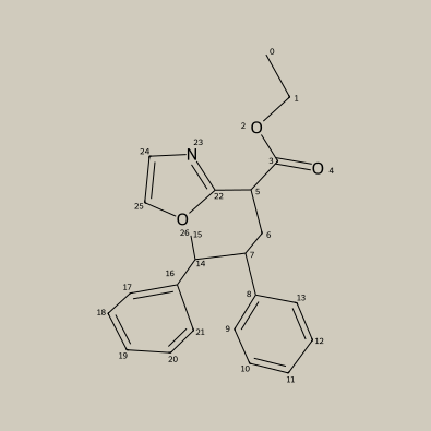 CCOC(=O)C(CC(c1ccccc1)C(C)c1ccccc1)c1ncco1